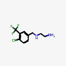 NCCNCc1ccc(Cl)c(C(F)(F)F)c1